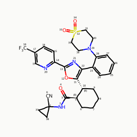 N#CC1(NC(=O)[C@@H]2CCCC[C@H]2c2oc(-c3ccc(C(F)(F)F)cn3)nc2-c2ccccc2N2CCS(=O)(=O)CC2)CC1